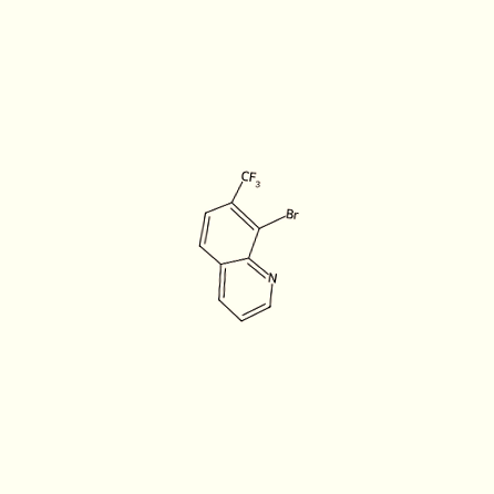 FC(F)(F)c1ccc2cccnc2c1Br